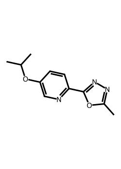 Cc1nnc(-c2ccc(OC(C)C)cn2)o1